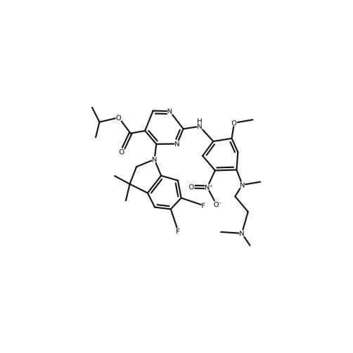 COc1cc(N(C)CCN(C)C)c([N+](=O)[O-])cc1Nc1ncc(C(=O)OC(C)C)c(N2CC(C)(C)c3cc(F)c(F)cc32)n1